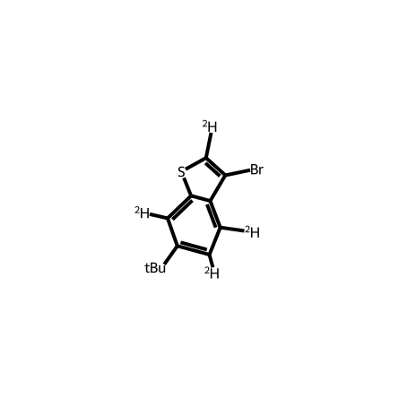 [2H]c1sc2c([2H])c(C(C)(C)C)c([2H])c([2H])c2c1Br